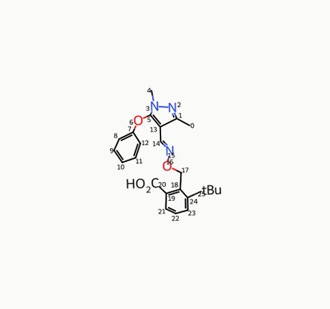 Cc1nn(C)c(Oc2ccccc2)c1C=NOCc1c(C(=O)O)cccc1C(C)(C)C